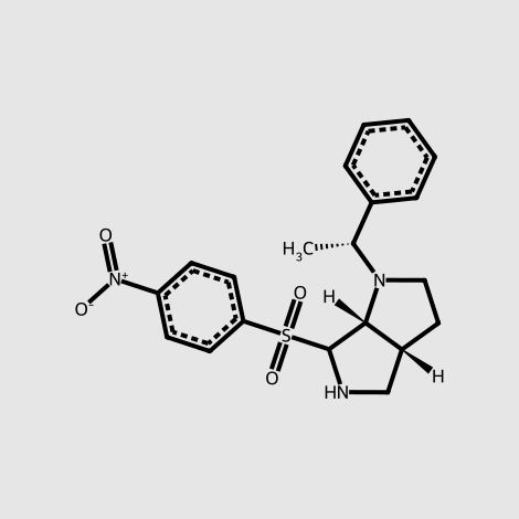 C[C@H](c1ccccc1)N1CC[C@@H]2CNC(S(=O)(=O)c3ccc([N+](=O)[O-])cc3)[C@@H]21